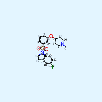 CN1CCC(Oc2cccc(S(=O)(=O)n3ccc4cc(F)ccc43)c2)CC1